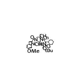 COc1ccc2cc(C(=O)N3CCN(C(=O)[C@@H](NC(=O)OC(C)(C)C)C4CCCCC4)[C@H](C)C3)n(C)c2c1